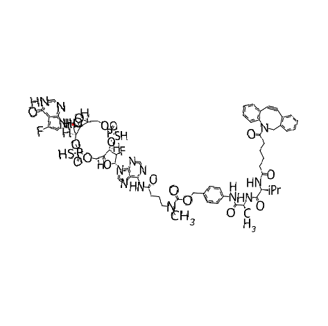 CC(C)[C@H](NC(=O)CCCCC(=O)N1Cc2ccccc2C#Cc2ccccc21)C(=O)N[C@@H](C)C(=O)Nc1ccc(COC(=O)N(C)CCCC(=O)Nc2ncnc3c2ncn3[C@@H]2O[C@@H]3CO[P@@](=O)(S)O[C@@H]4[C@H](O)[C@@H](CO[P@@](=O)(S)O[C@H]3[C@H]2F)O[C@H]4n2cc(F)c3c(=O)[nH]cnc32)cc1